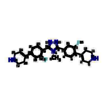 Cn1c(-c2ccc(C3=CCNCC3)c(F)c2)nnc1-c1ccc(C2=CCNCC2)cc1F